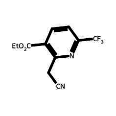 CCOC(=O)c1ccc(C(F)(F)F)nc1CC#N